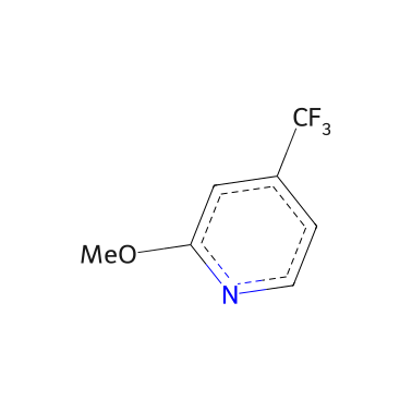 [CH2]Oc1cc(C(F)(F)F)ccn1